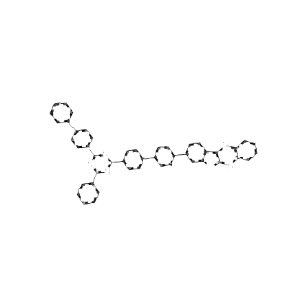 c1ccc(-c2ccc(-c3nc(-c4ccccc4)nc(-c4ccc(-c5ccc(-c6ccc7c(c6)oc6nc8ccccc8nc67)cc5)cc4)n3)cc2)cc1